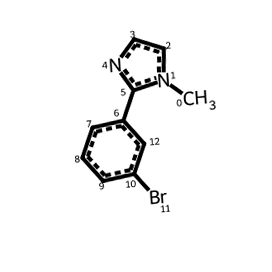 Cn1ccnc1-c1cccc(Br)c1